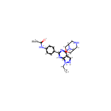 CNC(=O)Nc1ccc(-c2nc(N3C4CNCC3COC4)c3cnn(CC(F)(F)F)c3n2)cc1